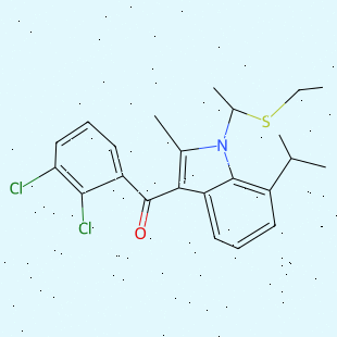 CCSC(C)n1c(C)c(C(=O)c2cccc(Cl)c2Cl)c2cccc(C(C)C)c21